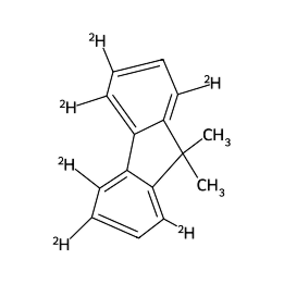 [2H]c1cc([2H])c2c(c1[2H])-c1c([2H])c([2H])cc([2H])c1C2(C)C